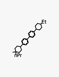 CCCC1(C)CCC(c2ccc(-c3ccc(C4CCC(CC)CC4)cc3)cc2)CC1